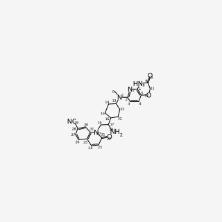 CN(c1ccc2c(n1)NC(=O)CO2)C1CCC(C(N)Cn2c(=O)ccc3ccc(C#N)cc32)CC1